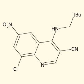 CC(C)(C)CNc1c(C#N)cnc2c(Cl)cc([N+](=O)[O-])cc12